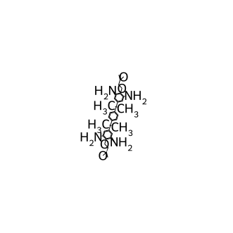 CC(C)(c1ccc(C(C)(C)c2cc(N)c(OC[C@H]3CO3)c(N)c2)cc1)c1cc(N)c(OCC2CO2)c(N)c1